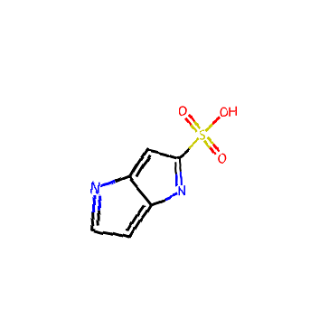 O=S(=O)(O)C1=NC2=CC=NC2=C1